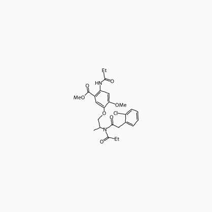 CCC(=O)Nc1cc(OC)c(OCC(C)N(C(=O)CC)C(=O)Cc2ccccc2Cl)cc1C(=O)OC